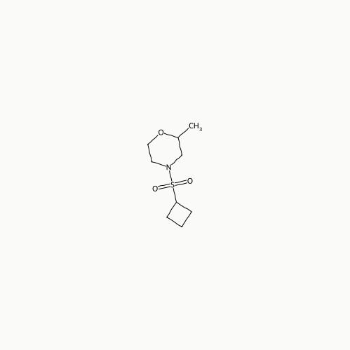 CC1CN(S(=O)(=O)C2CCC2)CCO1